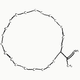 CC(=N)C1CCCCCCCCCCCCCCCCCCCCC1